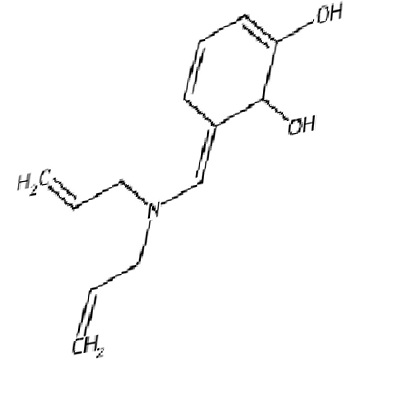 C=CCN(C=C1C=CC=C(O)C1O)CC=C